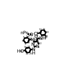 CCC[S+]([O-])c1ccccc1Nc1nc(Nc2ccc(O)cc2)ncc1C(=O)Nc1c(F)cccc1Cl